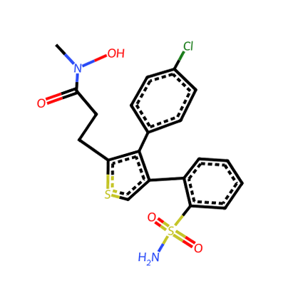 CN(O)C(=O)CCc1scc(-c2ccccc2S(N)(=O)=O)c1-c1ccc(Cl)cc1